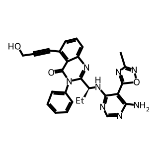 CC[C@H](Nc1ncnc(N)c1-c1nc(C)no1)c1nc2cccc(C#CCO)c2c(=O)n1-c1ccccc1